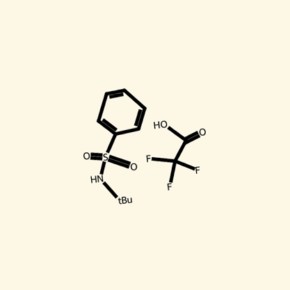 CC(C)(C)NS(=O)(=O)c1ccccc1.O=C(O)C(F)(F)F